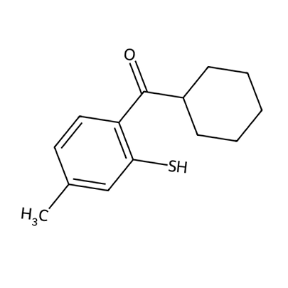 Cc1ccc(C(=O)C2CCCCC2)c(S)c1